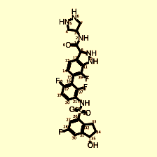 O=C(NC1CNNC1)C1NNc2c1ccc(-c1c(F)ccc(NS(=O)(=O)c3cc(F)cc4c3CC[C@@H]4O)c1F)c2F